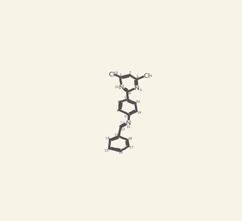 Clc1cc(Cl)nc(-c2ccc(/N=C/c3ccccc3)cc2)n1